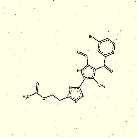 CC(=O)OCCn1nnc(-c2[nH]c(C=O)c(C(=O)c3cccc(Br)c3)c2C)n1